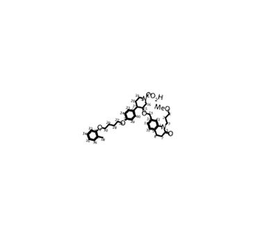 COCCCN1C(=O)CCc2ccc(COC3CN(C(=O)O)CCC3c3ccc(OCCCCOc4ccccc4C)cc3)cc21